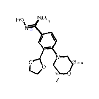 C[C@@H]1CN(c2ccc(/C(N)=N/O)cc2C2OCCO2)C[C@H](C)O1